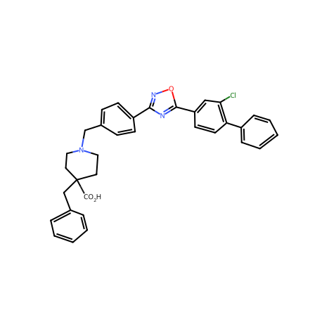 O=C(O)C1(Cc2ccccc2)CCN(Cc2ccc(-c3noc(-c4ccc(-c5ccccc5)c(Cl)c4)n3)cc2)CC1